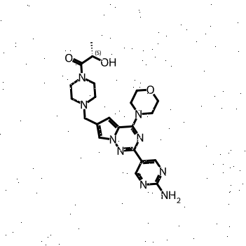 C[C@H](O)C(=O)N1CCN(Cc2cc3c(N4CCOCC4)nc(-c4cnc(N)nc4)nn3c2)CC1